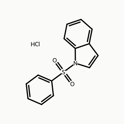 Cl.O=S(=O)(c1ccccc1)n1ccc2ccccc21